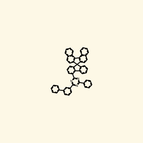 c1ccc(-c2cccc(-c3nc(-c4ccccc4)nc(-c4cccc5c4-c4ccccc4C54c5ccc6ccccc6c5-c5c4ccc4ccccc54)n3)c2)cc1